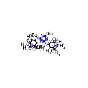 CCCCN(c1nc(N(CCCC)C2CC(C)(C)N(C)C(C)(C)C2)nc(C(C)(C)C)n1)C1CC(C)(C)N(C)C(C)(C)C1